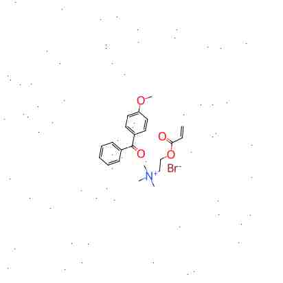 C=CC(=O)OCC[N+](C)(C)C.COc1ccc(C(=O)c2ccccc2)cc1.[Br-]